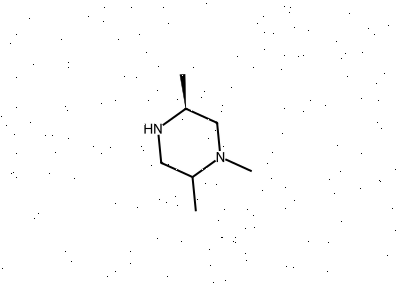 CC1CN[C@@H](C)CN1C